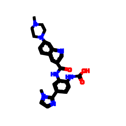 CN1CCN(c2ccc3cc(C(=O)Nc4cc(-c5nccn5C)ccc4NC(=O)O)cnc3c2)CC1